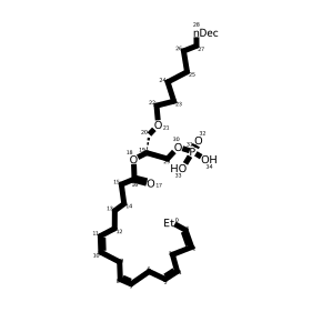 CC/C=C\C/C=C\C/C=C\C/C=C\CCCCC(=O)O[C@H](COCCCCCCCCCCCCCCCC)COP(=O)(O)O